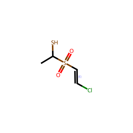 CC(S)S(=O)(=O)/C=C/Cl